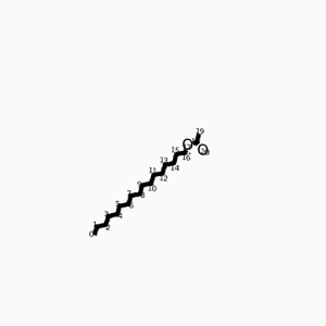 CCCCCCCCCCCCCCCC[CH]OC(C)=O